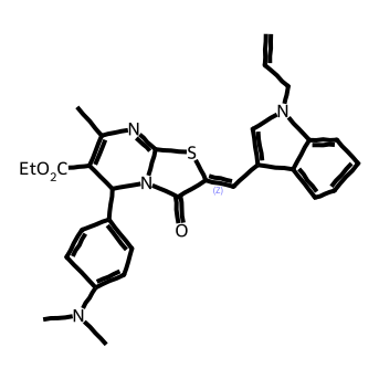 C=CCn1cc(/C=c2\sc3n(c2=O)C(c2ccc(N(C)C)cc2)C(C(=O)OCC)=C(C)N=3)c2ccccc21